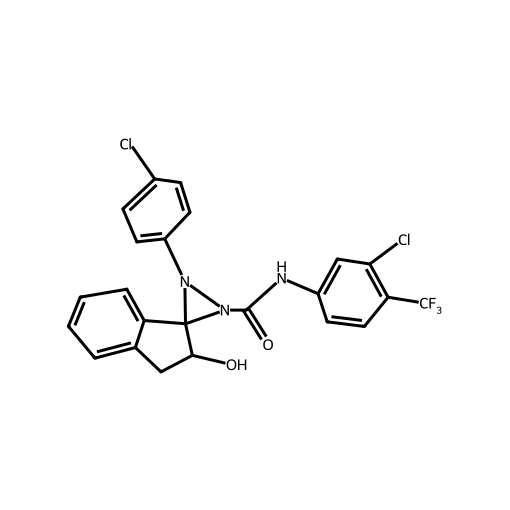 O=C(Nc1ccc(C(F)(F)F)c(Cl)c1)N1N(c2ccc(Cl)cc2)C12c1ccccc1CC2O